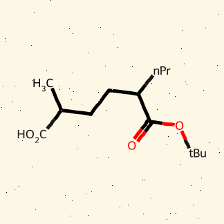 CCCC(CCC(C)C(=O)O)C(=O)OC(C)(C)C